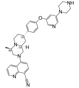 C[C@@H]1CN(c2ccc(C#N)c3ncccc23)C[C@@H]2C[C@@H](c3ccc(Oc4cncc(N5CCNCC5)c4)cc3)CCN21